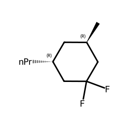 CCC[C@@H]1C[C@@H](C)CC(F)(F)C1